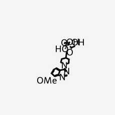 COc1cccc2c(N3CCC(COC(CO)P(=O)(O)O)CC3)ncnc12